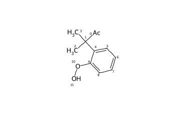 CC(=O)C(C)(C)c1ccccc1OO